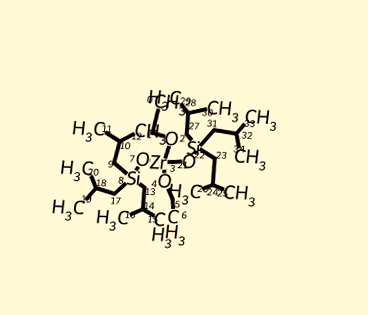 CC[O][Zr]([O]CC)([O][Si](CC(C)C)(CC(C)C)CC(C)C)[O][Si](CC(C)C)(CC(C)C)CC(C)C